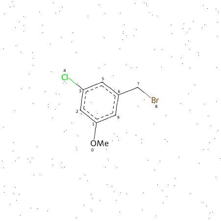 COc1cc(Cl)cc(CBr)c1